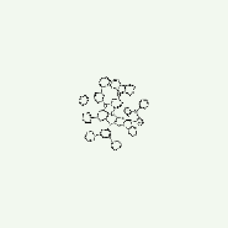 c1ccc(-c2cc(-c3ccccc3)cc(N3c4cc(-n5c6ccccc6c6ccccc65)ccc4B4c5cc6c(cc5N(c5cc(-c7ccccc7)cc(-c7ccccc7)c5)c5cc(-c7ccccc7)cc3c54)-c3ccccc3C63c4ccccc4N(c4ccccc4)c4ccccc43)c2)cc1